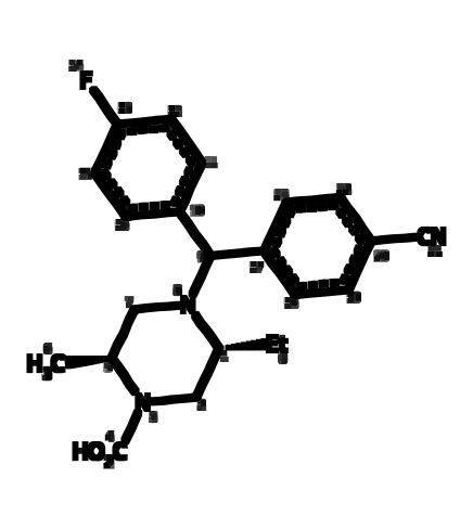 CC[C@@H]1CN(C(=O)O)[C@@H](C)CN1C(c1ccc(F)cc1)c1ccc(C#N)cc1